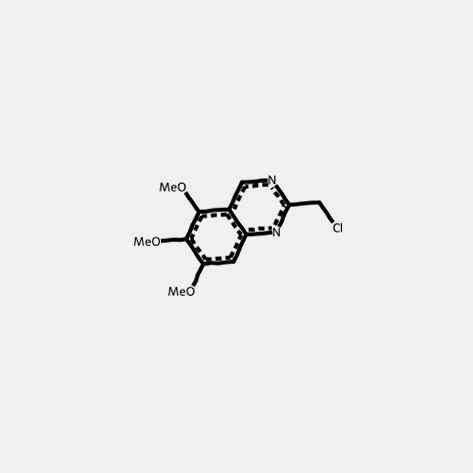 COc1cc2nc(CCl)ncc2c(OC)c1OC